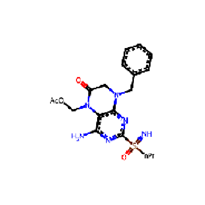 CCCS(=N)(=O)c1nc(N)c2c(n1)N(Cc1ccccc1)CC(=O)N2COC(C)=O